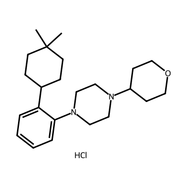 CC1(C)CCC(c2ccccc2N2CCN(C3CCOCC3)CC2)CC1.Cl